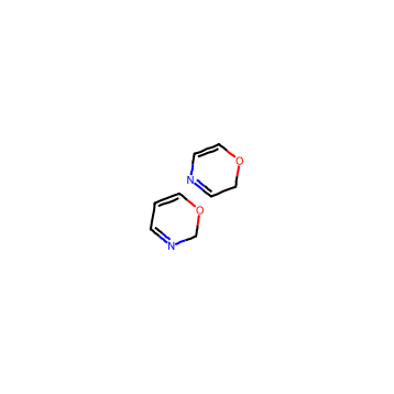 C1=COCC=N1.C1=COCN=C1